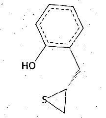 Oc1ccccc1C[C@@H]1CS1